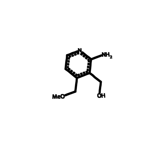 COCc1ccnc(N)c1CO